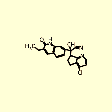 CCc1cc2ccc(C(C)(C#N)C3CCc4c(Cl)ccnc43)cc2[nH]c1=O